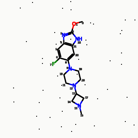 COc1nc2cc(F)c(N3CCN(C4CN(C)C4)CC3)cc2[nH]1